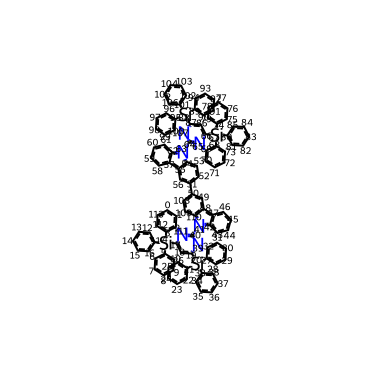 c1ccc([Si](c2ccccc2)(c2ccccc2)c2cc([Si](c3ccccc3)(c3ccccc3)c3ccccc3)nc(-n3c4ccccc4c4cc(-c5ccc6c(c5)c5ccccc5n6-c5nc([Si](c6ccccc6)(c6ccccc6)c6ccccc6)cc([Si](c6ccccc6)(c6ccccc6)c6ccccc6)n5)ccc43)n2)cc1